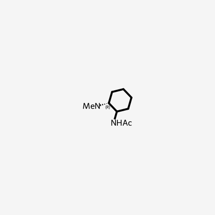 CN[C@@H]1CCCCC1NC(C)=O